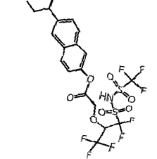 CCC(C)c1ccc2cc(OC(=O)COC(C(F)(F)F)C(F)(F)S(=O)(=O)NS(=O)(=O)C(F)(F)F)ccc2c1